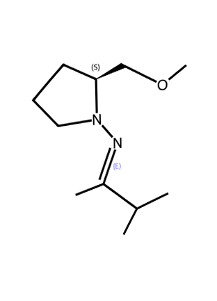 COC[C@@H]1CCCN1/N=C(\C)C(C)C